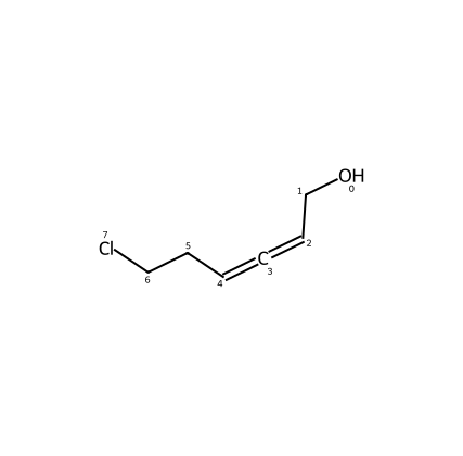 OCC=C=CCCCl